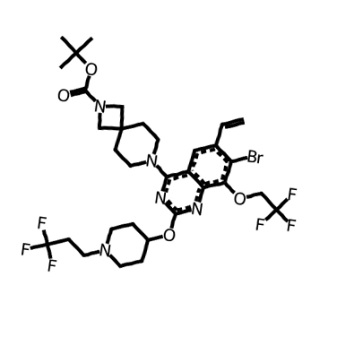 C=Cc1cc2c(N3CCC4(CC3)CN(C(=O)OC(C)(C)C)C4)nc(OC3CCN(CCC(F)(F)F)CC3)nc2c(OCC(F)(F)F)c1Br